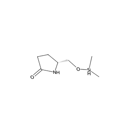 C[SiH](C)OC[C@H]1CCC(=O)N1